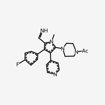 CC(=O)N1CCN(c2c(-c3ccncc3)c(-c3ccc(F)cc3)c(C=N)n2C)CC1